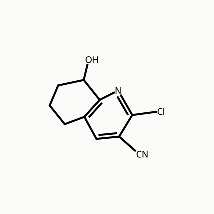 N#Cc1cc2c(nc1Cl)C(O)CCC2